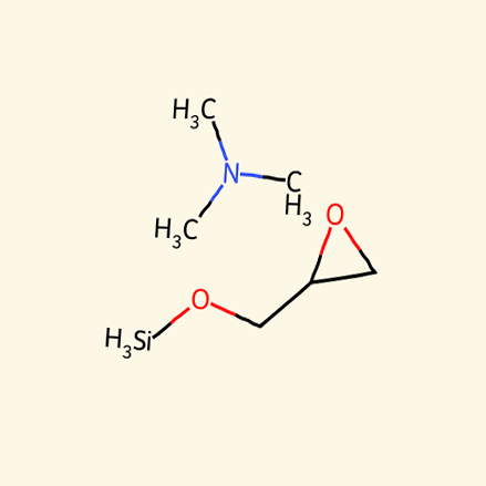 CN(C)C.[SiH3]OCC1CO1